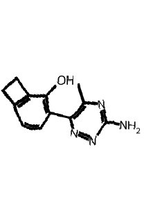 Cc1nc(N)nnc1-c1ccc2c(c1O)CC2